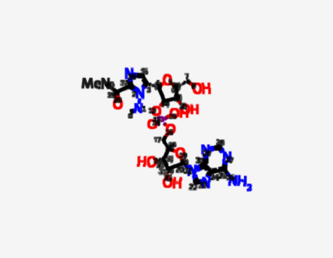 C=Nn1c([C@@H]2O[C@H](CO)[C@@H](O)[C@H]2OP(=O)(O)OC[C@H]2O[C@@H](n3cnc4c(N)ncnc43)[C@H](O)[C@@H]2O)cnc1C(=O)NC